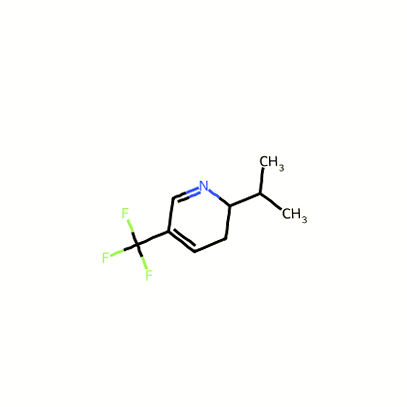 CC(C)C1CC=C(C(F)(F)F)C=N1